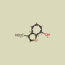 O=C(O)c1csc2c(O)cccc12